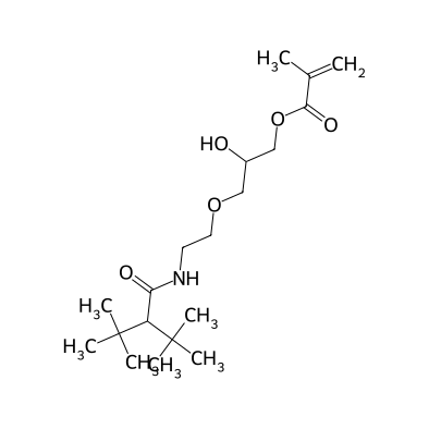 C=C(C)C(=O)OCC(O)COCCNC(=O)C(C(C)(C)C)C(C)(C)C